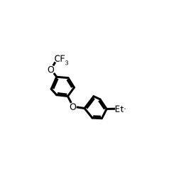 C[CH]c1ccc(Oc2ccc(OC(F)(F)F)cc2)cc1